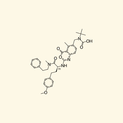 COc1ccc(CC[C@H](Nc2nc3ccc(CN(C(=O)O)C(C)(C)C)c(C)c3c(=O)o2)C(=O)N(C)CCc2ccccc2)cc1